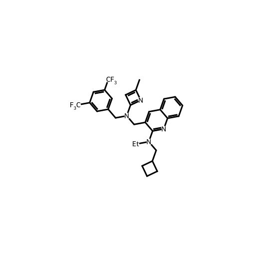 CCN(CC1CCC1)c1nc2ccccc2cc1CN(Cc1cc(C(F)(F)F)cc(C(F)(F)F)c1)C1=NC(C)=C1